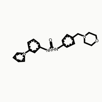 O=C(Nc1ccc(CN2CCOCC2)cc1)Nc1cccc(-n2cccc2)c1